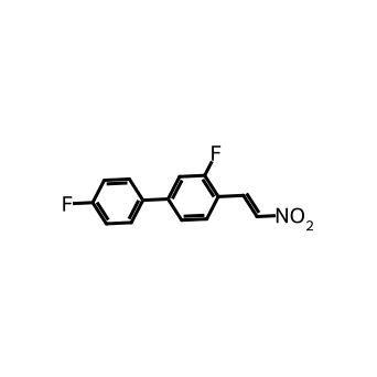 O=[N+]([O-])C=Cc1ccc(-c2ccc(F)cc2)cc1F